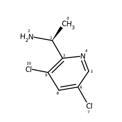 C[C@H](N)c1ncc(Cl)cc1Cl